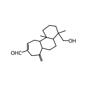 C=C1CC(C=O)=CCC2C1CCC1C(C)(CO)CCCC21C